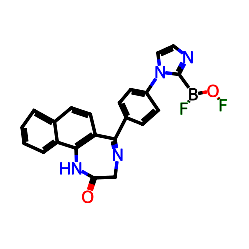 O=C1CN=C(c2ccc(-n3ccnc3B(F)OF)cc2)c2ccc3ccccc3c2N1